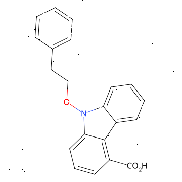 O=C(O)c1cccc2c1c1ccccc1n2OCCc1ccccc1